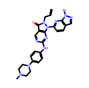 C=CCn1c(=O)c2cnc(Nc3ccc(N4CCN(C)CC4)cc3)nc2n1-c1ccc2cnn(C(C)=O)c2n1